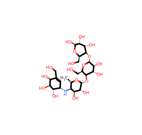 C[C@H]1O[C@H](O[C@@H]2[C@@H](O)[C@@H](O)[C@@H](O[C@@H]3[C@@H](O)[C@@H](O)[C@H](O)O[C@@H]3CO)O[C@@H]2CO)[C@H](O)[C@@H](O)[C@H]1N[C@H]1C=C(CO)[C@H](O)[C@H](O)[C@H]1O